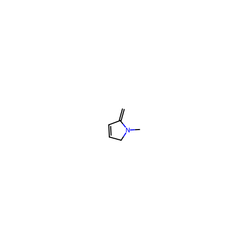 C=C1C=CCN1C